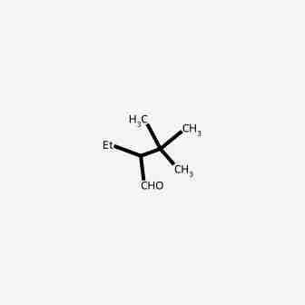 CCC(C=O)C(C)(C)C